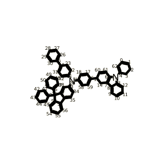 C1=CCCC(n2c3c(c4ccccc42)CC(c2ccc(N(c4ccc(-c5ccccc5)cc4)c4ccc5c(c4)C(c4ccccc4)(c4ccccc4)c4ccccc4-5)cc2)C=C3)=C1